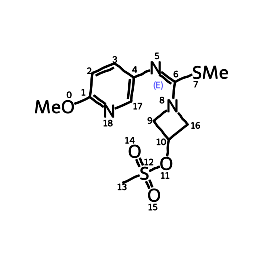 COc1ccc(/N=C(/SC)N2CC(OS(C)(=O)=O)C2)cn1